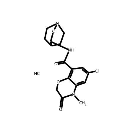 CN1C(=O)COc2c(C(=O)NC3CN4CCC3CC4)cc(Cl)cc21.Cl